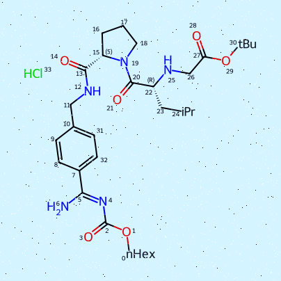 CCCCCCOC(=O)N=C(N)c1ccc(CNC(=O)[C@@H]2CCCN2C(=O)[C@@H](CC(C)C)NCC(=O)OC(C)(C)C)cc1.Cl